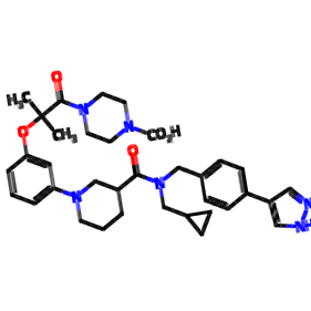 CC(C)(Oc1cccc(N2CCCC(C(=O)N(Cc3ccc(-c4cn[nH]c4)cc3)CC3CC3)C2)c1)C(=O)N1CCN(C(=O)O)CC1